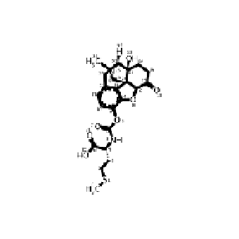 CSCC[C@@H](NC(=O)Oc1ccc2c3c1OC1C(=O)CC[C@@]4(O)[C@@H](C2)N(C)CC[C@]314)C(=O)O